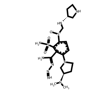 CN(C)[C@@H]1CCN(c2ccc([S+]([O-])CN[C@@H]3CCNC3)c(S(N)(=O)=O)c2/C(N)=N/N=N)C1